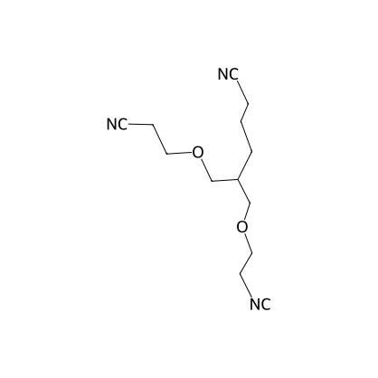 [C-]#[N+]CCOCC(CCCC#N)COCCC#N